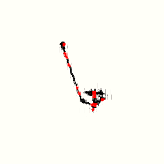 CCN/C(=C\C(C)=N)C(=O)Nc1nc2cc(C(N)=O)ccc2n1C/C=C/Cn1c(NC(=O)/C(=C/C(C)=N)NCC)nc2cc(C(N)=O)cc(OCCCN3CCN(CCOCCOCCOCCOCCOCCOCCOCCOCCOCCOCCNC(=O)CN4C(=O)C=CC4=O)CC3)c21